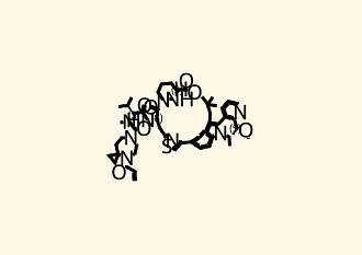 C=CC(=O)N1CCN(C(=O)N(C)[C@H](C(=O)N[C@H]2Cc3nc(cs3)-c3ccc4c(c3)c(c(-c3cccnc3[C@H](C)OC)n4CC)CC(C)(C)COC(=O)[C@@H]3CCCN(N3)C2=O)C(C)C)CCC12CC2